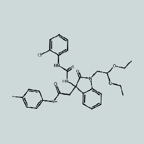 CCOC(CN1C(=O)C(CC(=O)Nc2ccc(C)cc2)(NC(=O)Nc2ccccc2Cl)c2ccccc21)OCC